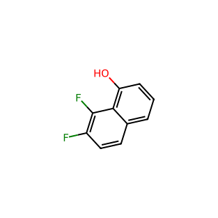 Oc1cccc2ccc(F)c(F)c12